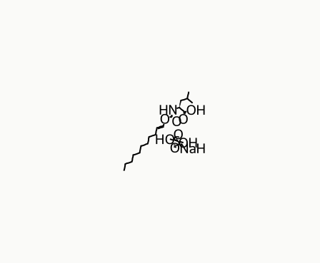 CCCCCCCCCC=COC(=O)N[C@@H](CC(C)C)C(=O)O.O=S(=O)(O)O.[NaH]